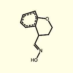 ON=CC1CCOc2ccccc21